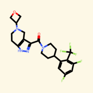 O=C(c1n[nH]c2c1CN(C1COC1)CC2)N1CCC(c2cc(F)cc(F)c2C(F)(F)F)CC1